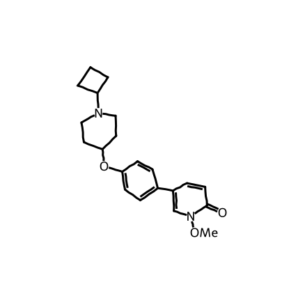 COn1cc(-c2ccc(OC3CCN(C4CCC4)CC3)cc2)ccc1=O